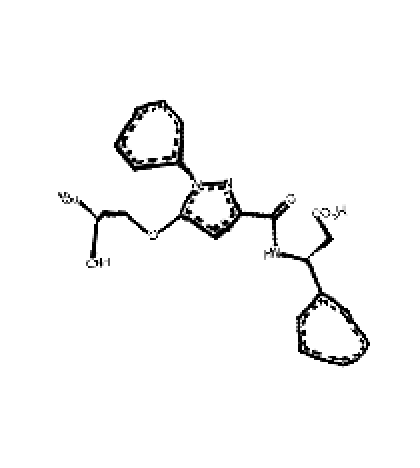 CC(C)(C)[C@H](O)COc1cc(C(=O)N[C@@H](CC(=O)O)c2ccccc2)nn1-c1ccccc1